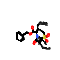 CO[C@H]1C(=O)N2C(C(=O)OCc3ccccc3)=C(COC(C)=O)CS(=O)(=O)[C@H]12